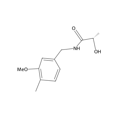 COc1cc(CNC(=O)[C@H](C)O)ccc1C